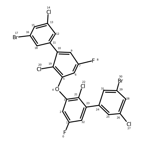 Fc1cc(Oc2cc(F)cc(-c3cc(Cl)cc(Br)c3)c2Cl)c(Cl)c(-c2cc(Cl)cc(Br)c2)c1